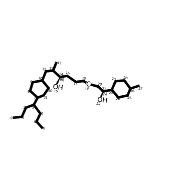 CCCC(CCC)C1CCC(CC(C)[C@H](O)CCCCC[C@H](O)C2CCC(C)CC2)CC1